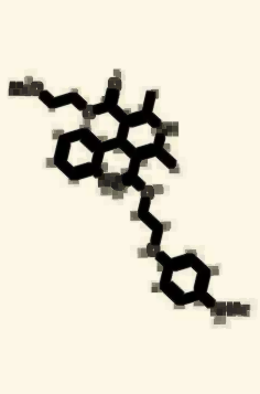 COCCOC(=O)C1=C(C)NC(C)=C(C(=O)OCCOc2ccc(NC(C)=O)cc2)C1c1ccccc1[N+](=O)[O-]